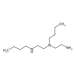 CCCCNCCN(CCN)CCCC